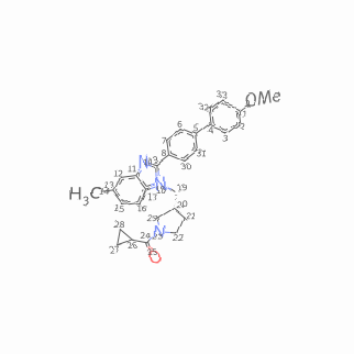 COc1ccc(-c2ccc(-c3nc4cc(C)ccc4n3C[C@@H]3CCN(C(=O)C4CC4)C3)cc2)cc1